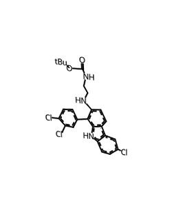 CC(C)(C)OC(=O)NCCNc1ccc2c([nH]c3ccc(Cl)cc32)c1-c1ccc(Cl)c(Cl)c1